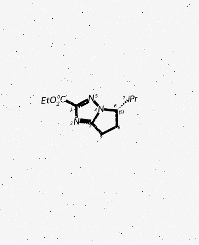 CCOC(=O)c1nc2n(n1)[C@H](C(C)C)CC2